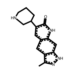 Cc1n[nH]c2cc3[nH]c(=O)c(C4CCCNC4)cc3cc12